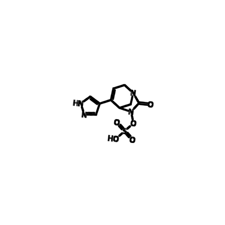 O=C1N2CC=C(c3cn[nH]c3)C(C2)N1OS(=O)(=O)O